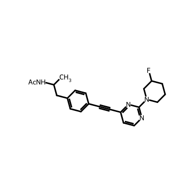 CC(=O)NC(C)Cc1ccc(C#Cc2ccnc(N3CCCC(F)C3)n2)cc1